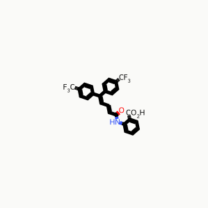 O=C(C=CC=C(c1ccc(C(F)(F)F)cc1)c1ccc(C(F)(F)F)cc1)Nc1ccccc1C(=O)O